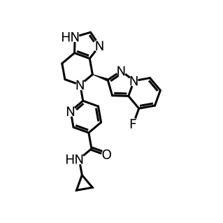 O=C(NC1CC1)c1ccc(N2CCc3[nH]cnc3[C@H]2c2cc3c(F)cccn3n2)nc1